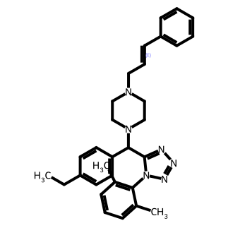 CCc1ccc(C(c2nnnn2-c2c(C)cccc2C)N2CCN(C/C=C/c3ccccc3)CC2)cc1